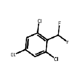 [CH2]Cc1cc(Cl)c(C(F)F)c(Cl)c1